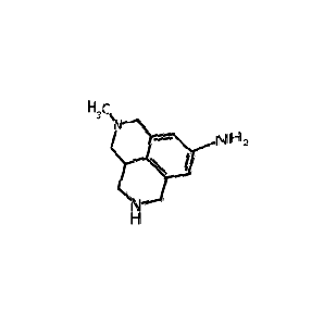 CN1Cc2cc(N)cc3c2C(CNC3)C1